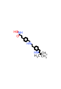 CC(C)(C)c1cc2ccc(CCNCc3ccc(/C=C/C(=O)NO)cc3)cc2[nH]1